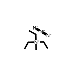 CC[N+](C)(CC)CC.[N-]=[N+]=[N-]